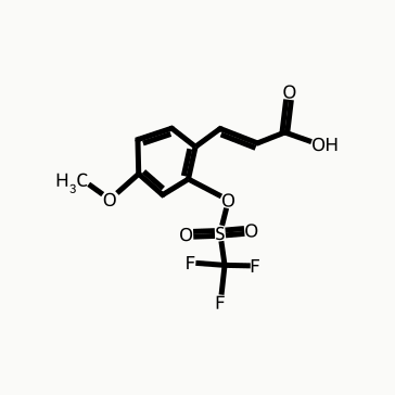 COc1ccc(C=CC(=O)O)c(OS(=O)(=O)C(F)(F)F)c1